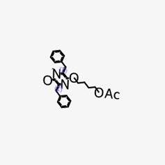 CC(=O)OCCCCOc1n/c(=C\c2ccccc2)c(=O)n(C)/c1=C\c1ccccc1